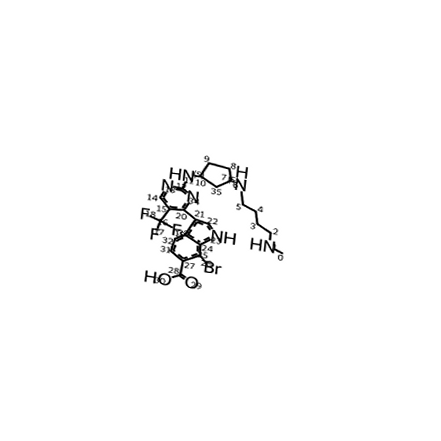 CNCCCCN[C@H]1CC[C@H](Nc2ncc(C(F)(F)F)c(-c3c[nH]c4c(Br)c(C(=O)O)ccc34)n2)C1